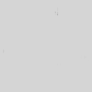 Cc1cc(F)ccc1OC(C1CCNCC1)C(F)(F)F